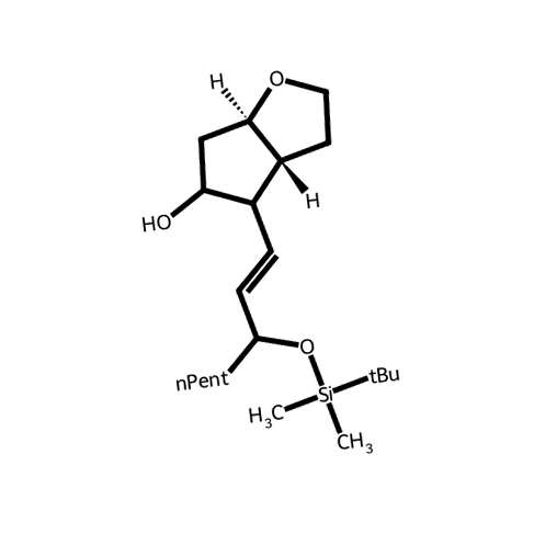 CCCCCC(/C=C/C1C(O)C[C@H]2OCC[C@H]12)O[Si](C)(C)C(C)(C)C